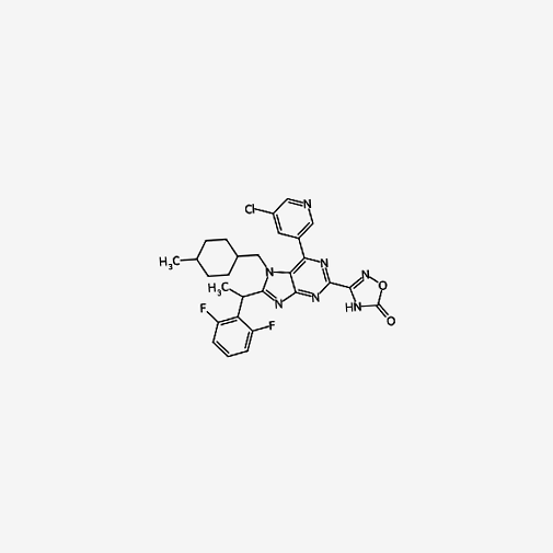 CC1CCC(Cn2c(C(C)c3c(F)cccc3F)nc3nc(-c4noc(=O)[nH]4)nc(-c4cncc(Cl)c4)c32)CC1